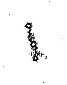 Nc1ccccc1NC(=O)c1cc2ccc(Cn3cc(CCc4ccccc4)nn3)cc2s1